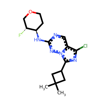 CC1(C)CC(c2nc(Cl)c3cnc(N[C@@H]4CCOC[C@H]4F)nn23)C1